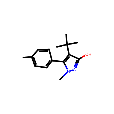 Cc1ccc(-c2c(C(C)(C)C)c(O)nn2C)cc1